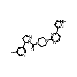 O=C(N1CCN(c2nccc(-c3cc[nH]n3)n2)CC1)N1N=CCC1c1cncc(F)c1